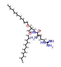 CCCCCCCCCCCCOCC(CNC(=O)[C@@H](N)CCCNC(=N)N)COCCCCCCCCCCCC